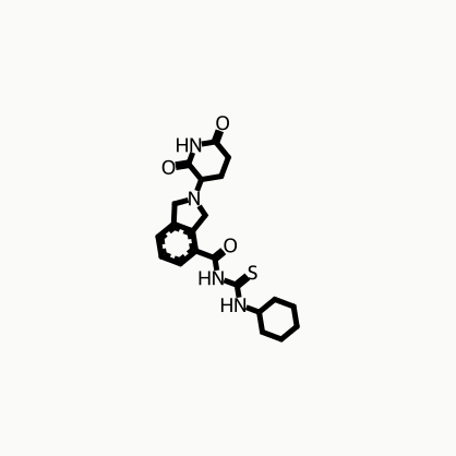 O=C1CCC(N2Cc3cccc(C(=O)NC(=S)NC4CCCCC4)c3C2)C(=O)N1